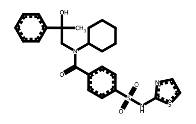 CC(O)(CN(C(=O)c1ccc(S(=O)(=O)Nc2nccs2)cc1)C1CCCCC1)c1ccccc1